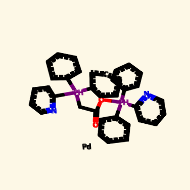 O=C(C[PH](c1ccccc1)(c1ccccc1)c1ccccn1)O[PH](c1ccccc1)(c1ccccc1)c1ccccn1.[Pd]